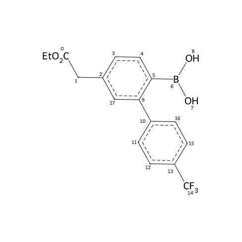 CCOC(=O)Cc1ccc(B(O)O)c(-c2ccc(C(F)(F)F)cc2)c1